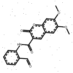 COc1cc2cc(C(=O)Nc3ccccc3C=O)c(=O)oc2cc1OC